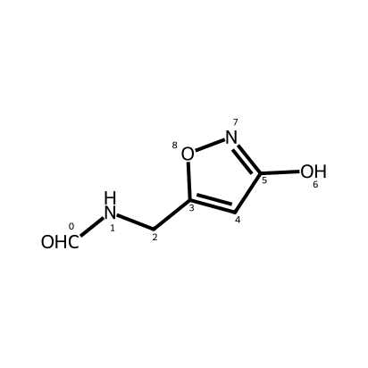 O=CNCc1cc(O)no1